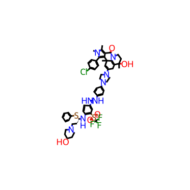 Cc1c2c(c(-c3ccc(Cl)cc3)n1C)C1(C)C=C(N3CCN(c4ccc(NNc5ccc(N[C@H](CCN6CCC(O)CC6)Sc6ccccc6)c(S(=O)(=O)C(F)(F)F)c5)cc4)CC3)CC3=C1N(CCC3(C)O)C2=O